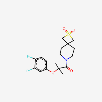 CC(C)(Oc1ccc(F)c(F)c1)C(=O)N1CCC2(CC1)CS(=O)(=O)C2